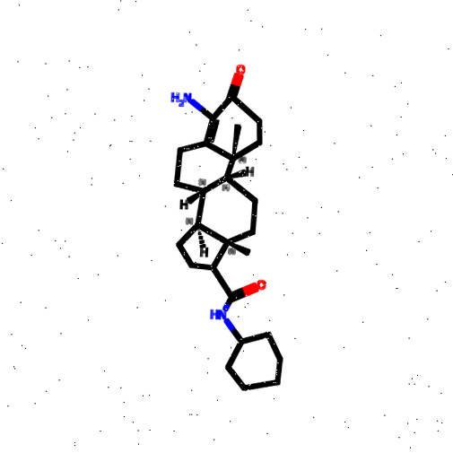 C[C@]12CCC(=O)C(N)=C1CC[C@@H]1[C@H]2CC[C@]2(C)C(C(=O)NC3CCCCC3)CC[C@@H]12